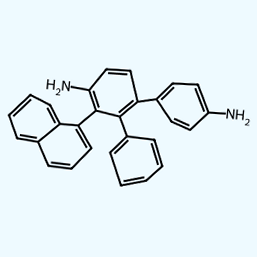 Nc1ccc(-c2ccc(N)c(-c3cccc4ccccc34)c2-c2ccccc2)cc1